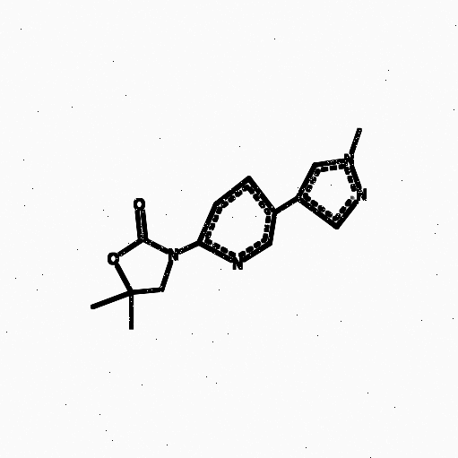 Cn1cc(-c2ccc(N3CC(C)(C)OC3=O)nc2)cn1